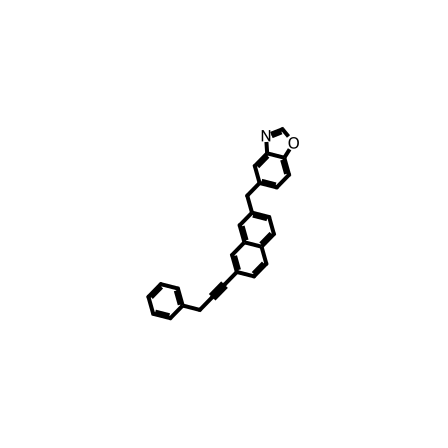 C(#Cc1ccc2ccc(Cc3ccc4ocnc4c3)cc2c1)Cc1ccccc1